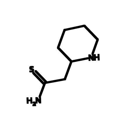 NC(=S)CC1CCCCN1